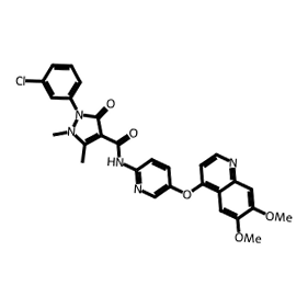 COc1cc2nccc(Oc3ccc(NC(=O)c4c(C)n(C)n(-c5cccc(Cl)c5)c4=O)nc3)c2cc1OC